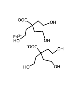 O=C([O-])C(CCO)(CCO)CCO.O=C([O-])C(CCO)(CCO)CCO.[Pd+2]